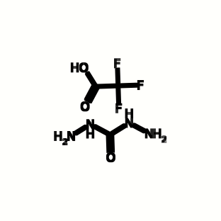 NNC(=O)NN.O=C(O)C(F)(F)F